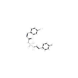 O=C(/C=C\c1ccc(F)cc1)CS(=O)(=O)N/C=C/c1ccc(F)cc1